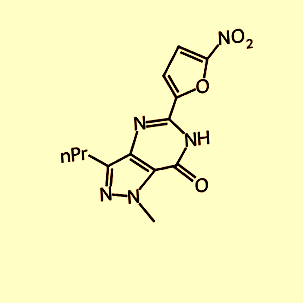 CCCc1nn(C)c2c(=O)[nH]c(-c3ccc([N+](=O)[O-])o3)nc12